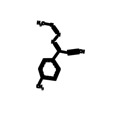 C#C/C(=N\N=N/C)c1ccc(C)cc1